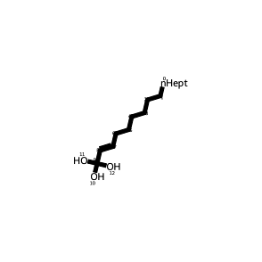 CCCCCCCCCCCCCC=CC(O)(O)O